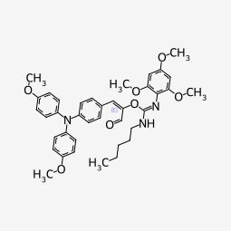 CCCCCNC(=Nc1c(OC)cc(OC)cc1OC)O/C(C=O)=C/c1ccc(N(c2ccc(OC)cc2)c2ccc(OC)cc2)cc1